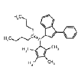 CCC[CH2][Ge]([CH2]CCC)=[Zr]([CH]1C(C)=C(C)C(C)=C1C)[CH]1C=C(c2ccccc2)c2ccccc21